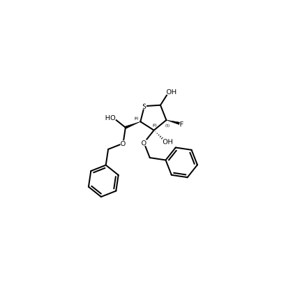 OC1S[C@H](C(O)OCc2ccccc2)[C@](O)(OCc2ccccc2)[C@@H]1F